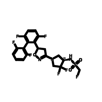 O=S(=O)(CF)N[C@@H]1CN(C2=NOC(c3c(F)ccc(F)c3-c3c(F)cccc3F)C2)CC1(F)F